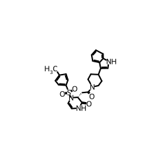 Cc1ccc(S(=O)(=O)N2C=CNC(=O)[C@H]2CC(=O)N2CCC(c3c[nH]c4ccccc34)CC2)cc1